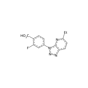 CCc1ccc2nnn(-c3ccc(C(=O)O)c(F)c3)c2n1